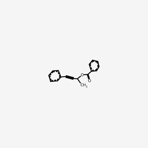 CC(C#Cc1ccccc1)OC(=O)c1ccccc1